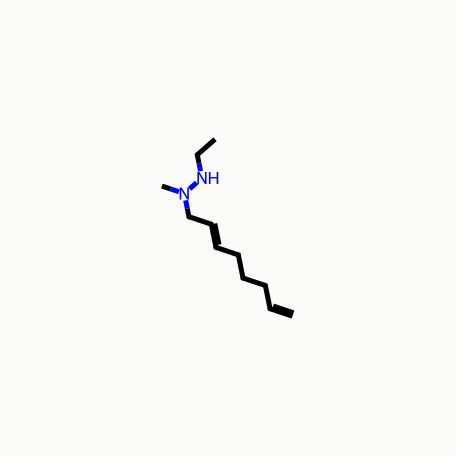 C=CCCC/C=C/CN(C)NCC